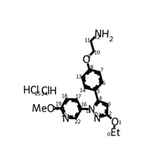 CCOc1cc(-c2ccc(OCCN)cc2)n(-c2ccc(OC)nc2)n1.Cl.Cl